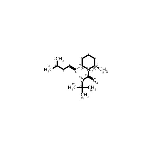 CC(C)CC=C[C@@H]1CCC[C@@H](C)N1C(=O)OC(C)(C)C